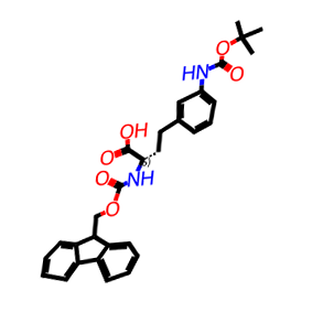 CC(C)(C)OC(=O)Nc1cccc(CC[C@H](NC(=O)OCC2c3ccccc3-c3ccccc32)C(=O)O)c1